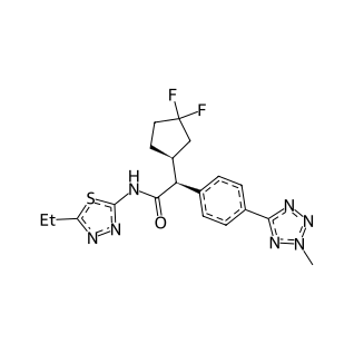 CCc1nnc(NC(=O)[C@H](c2ccc(-c3nnn(C)n3)cc2)[C@H]2CCC(F)(F)C2)s1